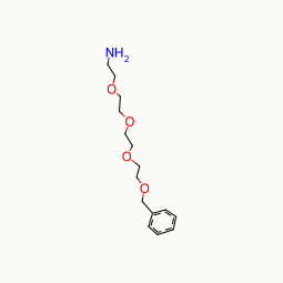 NCCOCCOCCOCCOCc1ccccc1